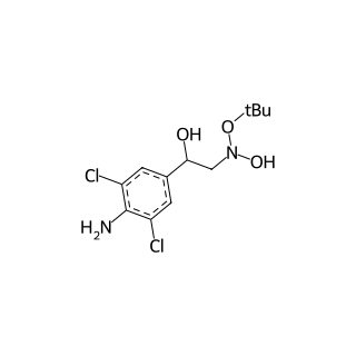 CC(C)(C)ON(O)CC(O)c1cc(Cl)c(N)c(Cl)c1